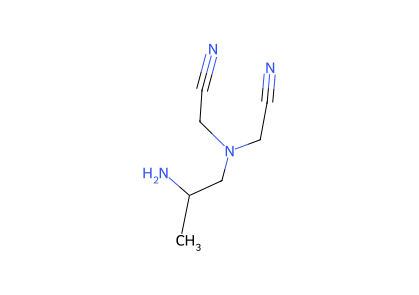 CC(N)CN(CC#N)CC#N